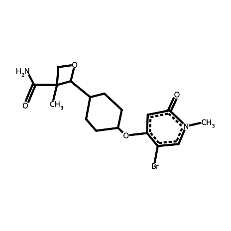 Cn1cc(Br)c(OC2CCC(C3OCC3(C)C(N)=O)CC2)cc1=O